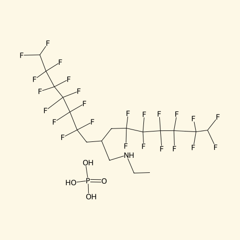 CCNCC(CC(F)(F)C(F)(F)C(F)(F)C(F)(F)C(F)(F)C(F)F)CC(F)(F)C(F)(F)C(F)(F)C(F)(F)C(F)(F)C(F)F.O=P(O)(O)O